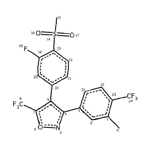 Cc1cc(-c2noc(C(F)(F)F)c2-c2ccc(S(C)(=O)=O)c(F)c2)ccc1C(F)(F)F